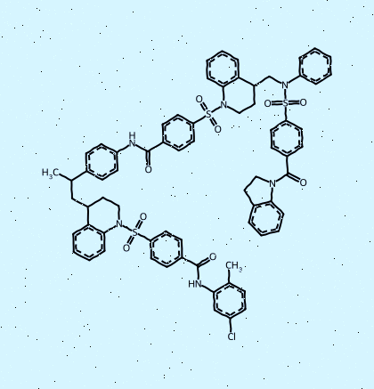 Cc1ccc(Cl)cc1NC(=O)c1ccc(S(=O)(=O)N2CCC(CC(C)c3ccc(NC(=O)c4ccc(S(=O)(=O)N5CCC(CN(c6ccccc6)S(=O)(=O)c6ccc(C(=O)N7CCc8ccccc87)cc6)c6ccccc65)cc4)cc3)c3ccccc32)cc1